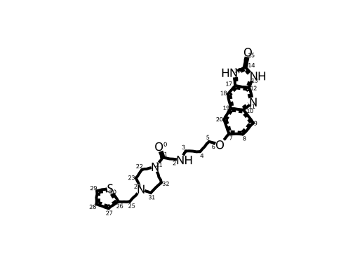 O=C(NCCCOc1ccc2nc3[nH]c(=O)[nH]c3cc2c1)N1CCN(Cc2cccs2)CC1